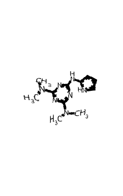 CN(C)c1nc(Nc2ccc[nH]2)nc(N(C)C)n1